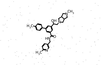 Cc1ccc(-c2cc(C(=O)NCc3ccc(C)nc3)cc(C(O)CN3CC4CN(C)CC4C3)c2)cc1